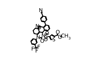 COC(=O)c1cc(S(=O)(=O)N2C(=O)N(c3cccc(C(F)(F)F)c3)C3=C(C(=O)CCC3)C2c2cccc(-c3ccc(C#N)cc3)c2C#N)cs1